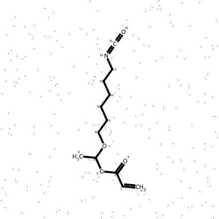 C=CC(=O)OC(C)OCCCCCCN=C=O